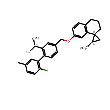 CO[C@@H](c1cc(COc2ccc3c(c2)[C@]2(CCC3)C[C@H]2C(=O)O)ccc1-c1cc(C)ccc1F)C(C)(C)C